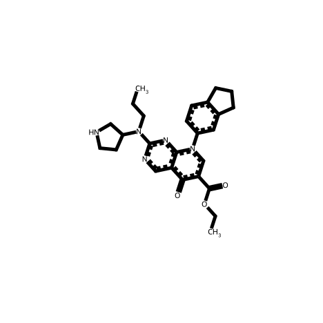 CCCN(c1ncc2c(=O)c(C(=O)OCC)cn(-c3ccc4c(c3)CCC4)c2n1)C1CCNC1